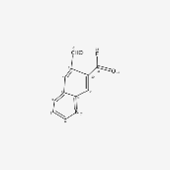 O=Cc1cc2cccnc2cc1C(=O)F